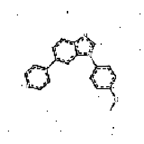 COc1ccc(-n2cnc3ccc(-c4ccncc4)cc32)cc1